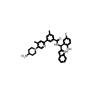 Cc1cc(C(=O)NC(c2cc3ccccc3[nH]2)c2cc(F)ccc2O)cc(-c2cc(C)c(N3CCC(N)CC3)cn2)c1